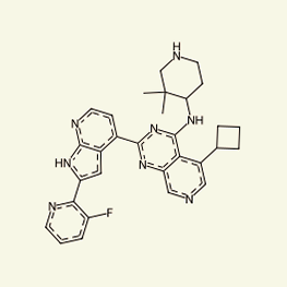 CC1(C)CNCCC1Nc1nc(-c2ccnc3[nH]c(-c4ncccc4F)cc23)nc2cncc(C3CCC3)c12